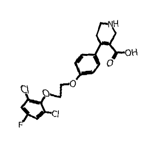 O=C(O)C1=C(c2ccc(OCCOc3c(Cl)cc(F)cc3Cl)cc2)CCNC1